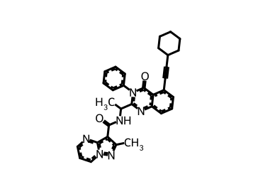 Cc1nn2cccnc2c1C(=O)NC(C)c1nc2cccc(C#CC3CCCCC3)c2c(=O)n1-c1ccccc1